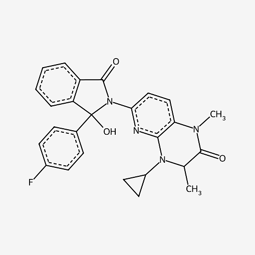 CC1C(=O)N(C)c2ccc(N3C(=O)c4ccccc4C3(O)c3ccc(F)cc3)nc2N1C1CC1